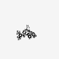 CC(CN1CCN(C(=O)c2cc(C(F)(F)F)cc(C(F)(F)F)c2)[C@H](Cc2c[nH]c3ccccc23)C1)=NOCCN1CCS(=O)(=O)CC1